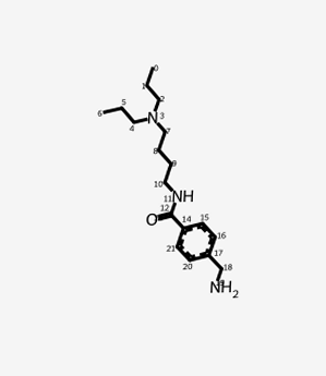 CCCN(CCC)CCCCNC(=O)c1ccc(CN)cc1